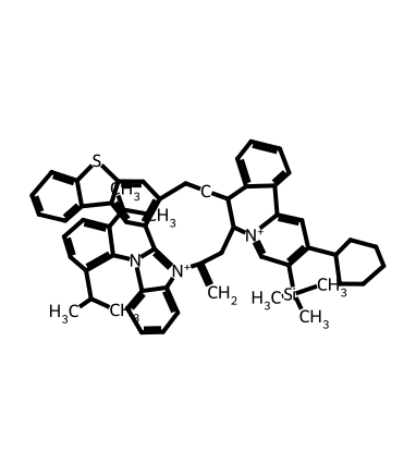 C=C1CC2C(CCc3cc4sc5ccccc5c4cc3-c3n(-c4c(C(C)C)cccc4C(C)C)c4ccccc4[n+]31)c1ccccc1-c1cc(C3CCCCC3)c([Si](C)(C)C)c[n+]12